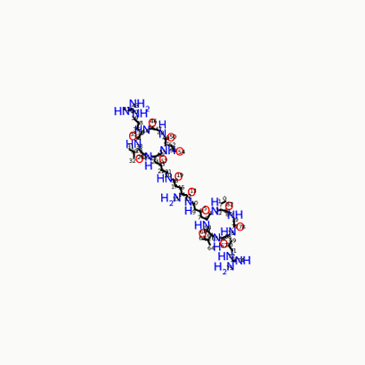 CC[C@H]1NC(=O)C(CCCCNC(=O)C(N)CCC(=O)NCCCC[C@H]2NC(=O)[C@H](C(C)C)NC(=O)[C@@H](CCCNC(=N)N)NC(=O)CNC(=O)[C@@H](CC=O)NC2=O)NC(=O)[C@H](C(C)C)NC(=O)[C@@H](CCCNC(=N)N)NC(=O)CNC1=O